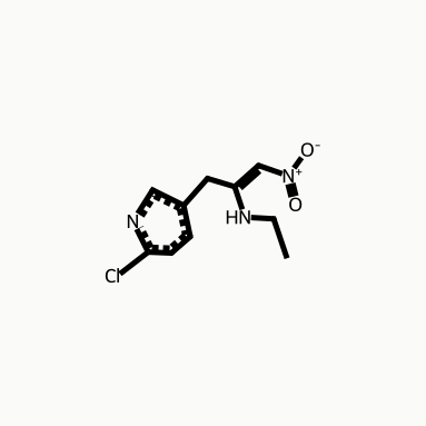 CCNC(=C[N+](=O)[O-])Cc1ccc(Cl)nc1